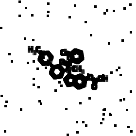 CN1CCN([C@@H]2CCC[C@H]([N+](C)(C(=O)c3ccccc3Cl)[C@@H]3CCc4ccc(OC(=O)O)cc43)C2)CC1